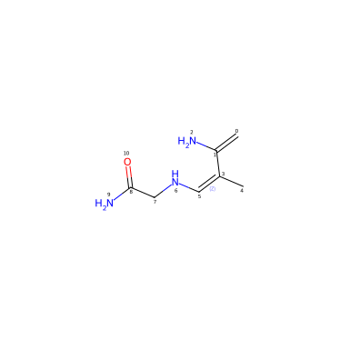 C=C(N)/C(C)=C\NCC(N)=O